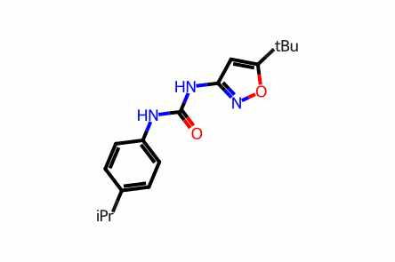 CC(C)c1ccc(NC(=O)Nc2cc(C(C)(C)C)on2)cc1